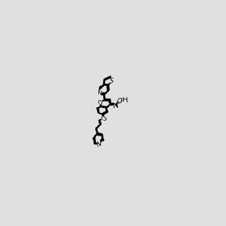 ON=c1cc(-c2cc3sccc3cn2)oc2ccc(OCCCc3ccncc3)cc12